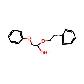 OC(COc1ccccc1)OCCc1ccccc1